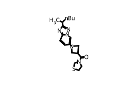 CCCCC(C)c1nc2ccc(N3CC(C(=O)N4CCSC4)C3)cn2n1